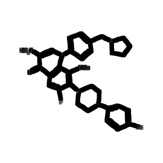 COc1c(N2CCN(c3ccc(C(C)=O)cc3)CC2)c(F)cc2c(=O)c(C(=O)O)cn(-c3ccc(CN4CCCC4)cc3)c12